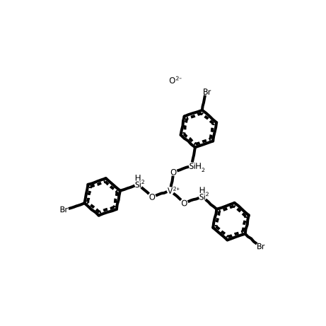 Brc1ccc([SiH2][O][V+2]([O][SiH2]c2ccc(Br)cc2)[O][SiH2]c2ccc(Br)cc2)cc1.[O-2]